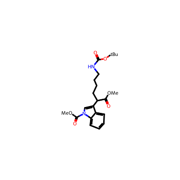 COC(=O)C(CCCCNC(=O)OC(C)(C)C)c1cn(C(=O)OC)c2ccccc12